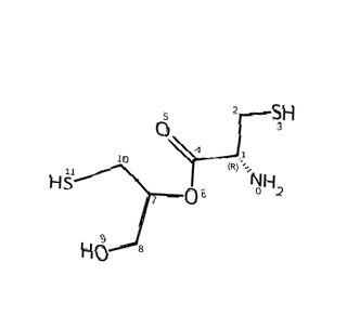 N[C@@H](CS)C(=O)OC(CO)CS